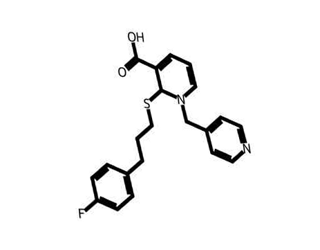 O=C(O)C1=CC=CN(Cc2ccncc2)C1SCCCc1ccc(F)cc1